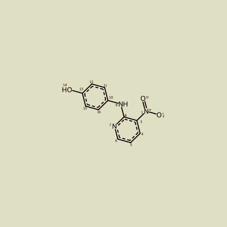 O=[N+]([O-])c1cccnc1Nc1ccc(O)cc1